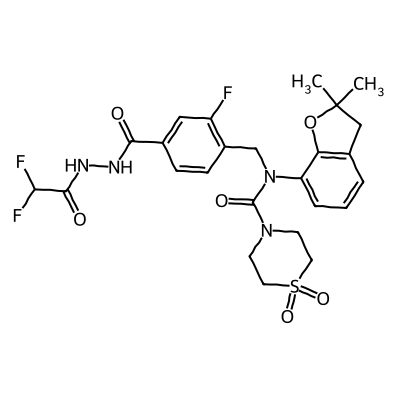 CC1(C)Cc2cccc(N(Cc3ccc(C(=O)NNC(=O)C(F)F)cc3F)C(=O)N3CCS(=O)(=O)CC3)c2O1